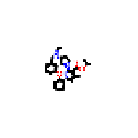 CCN(Cc1cccc(Oc2ccccc2)c1)[C@@H]1CCN(c2nccc(C)c2C(=O)OC(C)C)C1